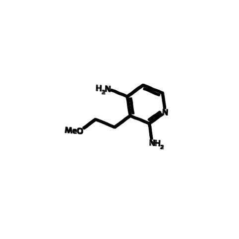 COCCc1c(N)ccnc1N